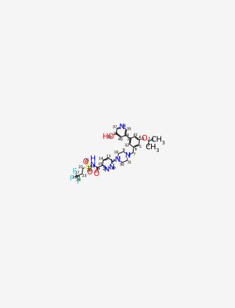 CC(C)Oc1cc(CN2CCN(c3ccc(C(=O)NS(=O)(=O)CCC(F)(F)F)nn3)CC2)cc(-c2cncc(O)c2)c1